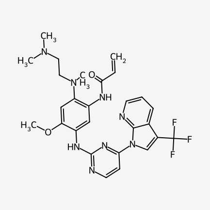 C=CC(=O)Nc1cc(Nc2nccc(-n3cc(C(F)(F)F)c4cccnc43)n2)c(OC)cc1N(C)CCN(C)C